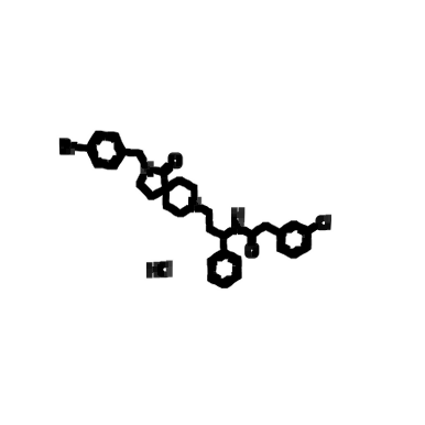 Cl.O=C(Cc1cccc(Cl)c1)NC(CCN1CCC2(CC1)CCN(Cc1ccc(Br)cc1)C2=O)c1ccccc1